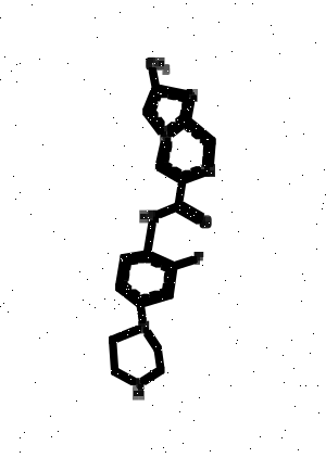 Cc1cn2cc(C(=O)Nc3ccc(N4CCNCC4)cc3F)ncc2n1